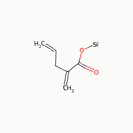 C=CCC(=C)C(=O)O[Si]